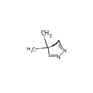 CC1(C)[C]=NN=C1